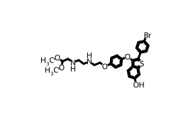 COC(CNCCNCCOc1ccc(Oc2c(-c3ccc(Br)cc3)sc3cc(O)ccc23)cc1)OC